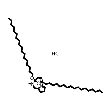 CCCCCCCCCCCCCCCCCCOC(CC)(OCCCCCCCCCCCCCCCCCC)N(C)CC1CCCN1.Cl